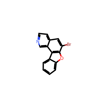 Brc1cc2ccncc2c2c1oc1ccccc12